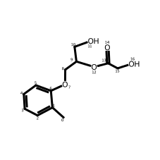 Cc1ccccc1OCC(CO)OC(=O)CO